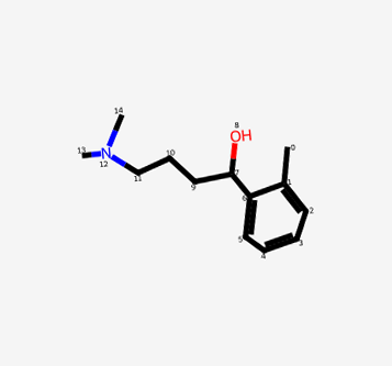 Cc1ccccc1C(O)CCCN(C)C